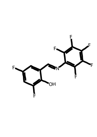 Oc1c(F)cc(F)cc1/C=N/c1c(F)c(F)c(F)c(F)c1F